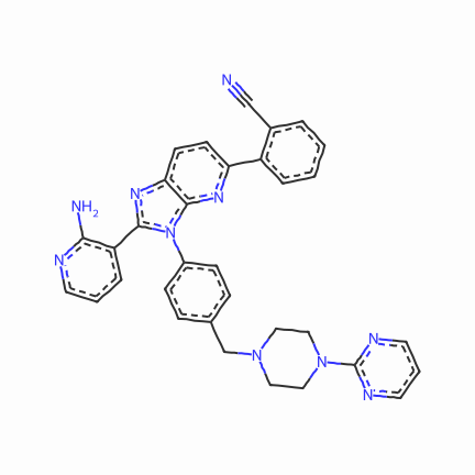 N#Cc1ccccc1-c1ccc2nc(-c3cccnc3N)n(-c3ccc(CN4CCN(c5ncccn5)CC4)cc3)c2n1